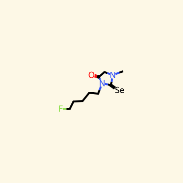 CN1CC(=O)N(CCCCCF)C1=[Se]